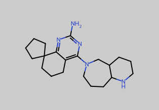 Nc1nc(N2CCCC3NCCCC3C2)c2c(n1)C1(CCCC1)CCC2